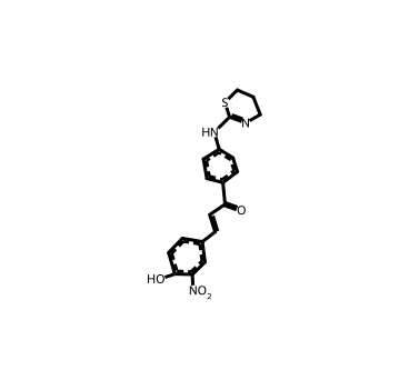 O=C(/C=C/c1ccc(O)c([N+](=O)[O-])c1)c1ccc(NC2=NCCCS2)cc1